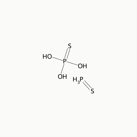 OP(O)(O)=S.[PH3]=S